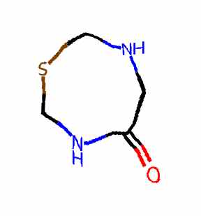 O=C1CNCSCN1